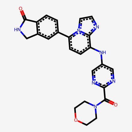 O=C1NCc2cc(-c3ccc(Nc4cnc(C(=O)N5CCOCC5)nc4)c4nccn34)ccc21